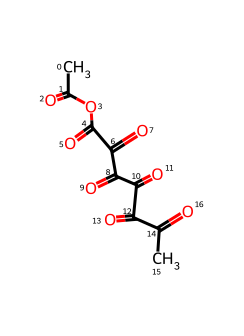 CC(=O)OC(=O)C(=O)C(=O)C(=O)C(=O)C(C)=O